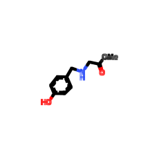 COC(=O)CNCc1ccc(O)cc1